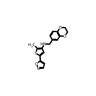 Cc1sc(-c2ccno2)cc1NCc1ccc2c(c1)OCCO2